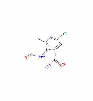 Cc1cc(Cl)cc(C(N)=O)c1NC=O